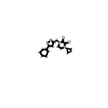 O=c1c(=O)n(C2CCC2)ccn1Cc1cc(-c2ccccc2)sn1